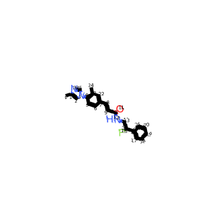 Cc1cn(-c2ccc(/C=C/C(=O)NC[C@H](F)c3ccccc3)cc2C)cn1